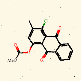 COC(=O)Oc1cc(C)c(Cl)c2c1C(=O)c1ccccc1C2=O